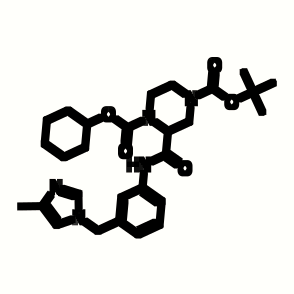 Cc1cn(Cc2cccc(NC(=O)C3CN(C(=O)OC(C)(C)C)CCN3C(=O)OC3CCCCC3)c2)cn1